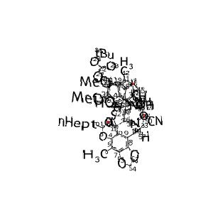 CCCCCCCC(=O)Oc1c(C)c2c(c3c1[C@H]1SC[C@]4(NCCc5cc(OC(=O)OC(C)(C)C)c(OC)cc54)C(=O)OC[C@@H]3N3C1[C@H]1c4c(cc(C)c(OC)c4O)C[C@@H]([C@@H]3C#N)N1C)OCO2